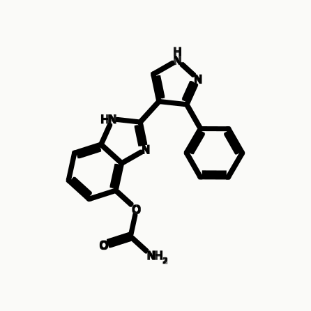 NC(=O)Oc1cccc2[nH]c(-c3c[nH]nc3-c3ccccc3)nc12